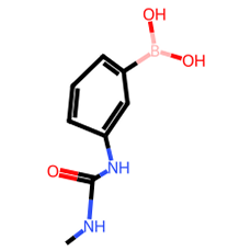 CNC(=O)Nc1cccc(B(O)O)c1